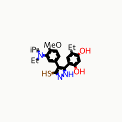 CCc1cc(-c2[nH]nc(S)c2-c2ccc(OC)c(N(CC)C(C)C)c2)c(O)cc1O